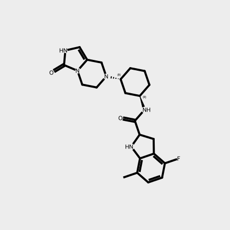 Cc1ccc(F)c2c1NC(C(=O)N[C@@H]1CCC[C@@H](N3CCn4c(c[nH]c4=O)C3)C1)C2